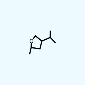 CC1CC(C(C)C)CO1